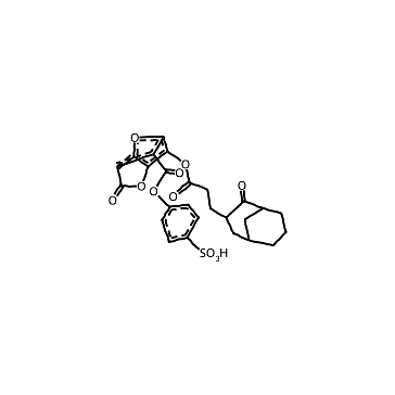 O=C(CCC1CC2CCCC(C2)C1=O)Oc1c2c3oc1c(C(=O)Oc1ccc(S(=O)(=O)O)cc1)c3C(=O)O2